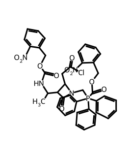 CC(NC(=O)OCc1ccccc1[N+](=O)[O-])C1C(=O)N(CP(C(=O)OCc2ccccc2[N+](=O)[O-])(c2ccccc2)(c2ccccc2)c2ccccc2)C1CC(=O)Cl